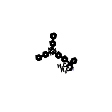 C=Cc1c(/C=C\C)c2ccccc2n1-c1ccc(-c2ccc(-c3nc(-c4ccc(-c5ccccc5)cc4)nc(-c4ccc(-c5ccccc5)cc4)n3)cc2)cc1